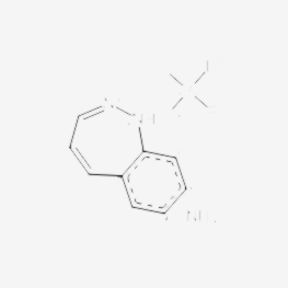 C1=Cc2ccccc2NN=C1.F[B-](F)(F)F.[NH4+]